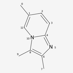 Cc1ccc2nc(C)c(C)n2c1